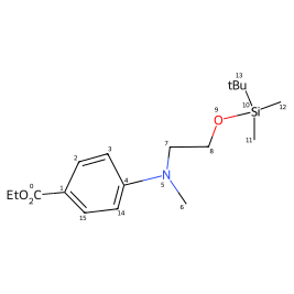 CCOC(=O)c1ccc(N(C)CCO[Si](C)(C)C(C)(C)C)cc1